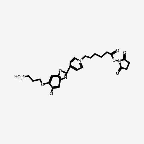 O=C(CCCCC[n+]1ccc(-c2nc3cc(Cl)c(OCCCS(=O)(=O)O)cc3o2)cc1)ON1C(=O)CCC1=O